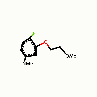 CNc1ccc(F)c(OCCOC)c1